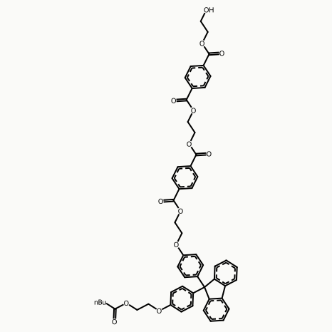 CCCCC(=O)OCCOc1ccc(C2(c3ccc(OCCOC(=O)c4ccc(C(=O)OCCOC(=O)c5ccc(C(=O)OCCO)cc5)cc4)cc3)c3ccccc3-c3ccccc32)cc1